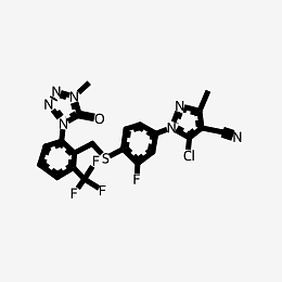 Cc1nn(-c2ccc(SCc3c(-n4nnn(C)c4=O)cccc3C(F)(F)F)c(F)c2)c(Cl)c1C#N